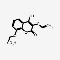 C=COc1c(O)c2cccc(OCC(=O)O)c2oc1=O